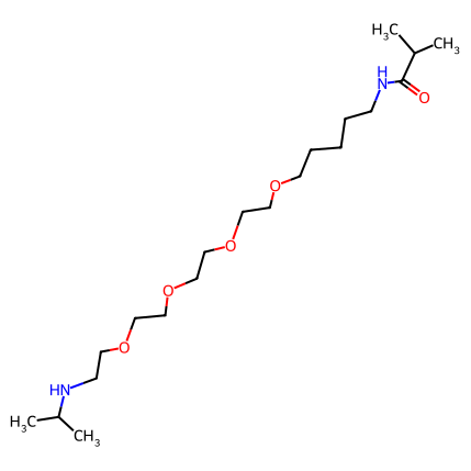 CC(C)NCCOCCOCCOCCOCCCCCNC(=O)C(C)C